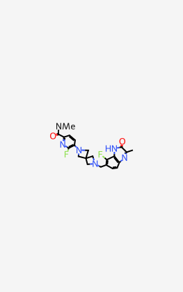 CNC(=O)c1ccc(N2CC3(CN(Cc4ccc5nc(C)c(=O)[nH]c5c4F)C3)C2)c(F)n1